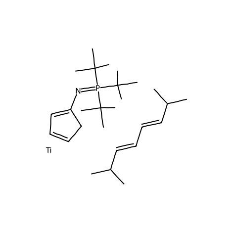 CC(C)(C)P(=NC1=CC=CC1)(C(C)(C)C)C(C)(C)C.CC(C)C=CC=CC(C)C.[Ti]